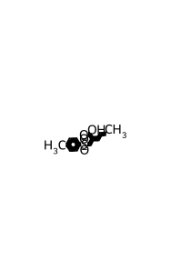 CCCC=C(CS(=O)(=O)c1ccc(C)cc1)C(=O)O